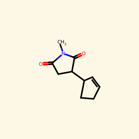 CN1C(=O)CC(C2C=CCC2)C1=O